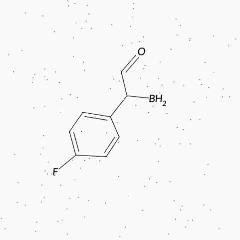 BC(C=O)c1ccc(F)cc1